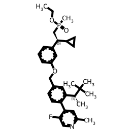 CCOP(C)(=O)C[C@H](c1cccc(OCc2ccc(-c3cc(C)ncc3F)c([C@@H](C)C(C)(C)C)c2)c1)C1CC1